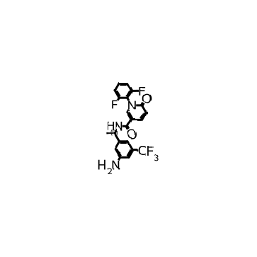 C[C@@H](NC(=O)c1ccc(=O)n(-c2c(F)cccc2F)c1)c1cc(N)cc(C(F)(F)F)c1